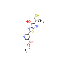 CCOC(=O)c1cncc(-c2nc3c(O)c(C(C)CS)[nH]c3s2)c1